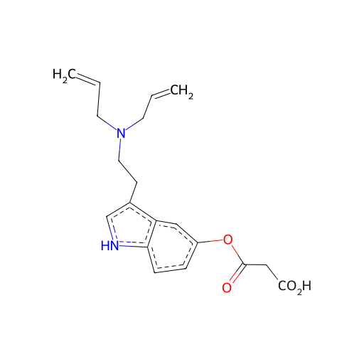 C=CCN(CC=C)CCc1c[nH]c2ccc(OC(=O)CC(=O)O)cc12